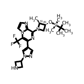 C[C@H]1[C@H](O[Si](C)(C)C(C)(C)C)CN1c1nc(-c2cnn(C3CNC3)c2)c(C(F)(F)F)n2ccnc12